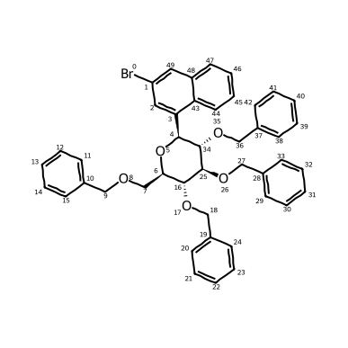 Brc1cc([C@@H]2O[C@H](COCc3ccccc3)[C@@H](OCc3ccccc3)[C@H](OCc3ccccc3)[C@H]2OCc2ccccc2)c2ccccc2c1